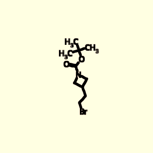 CC(C)(C)OC(=O)N1CC(CCBr)C1